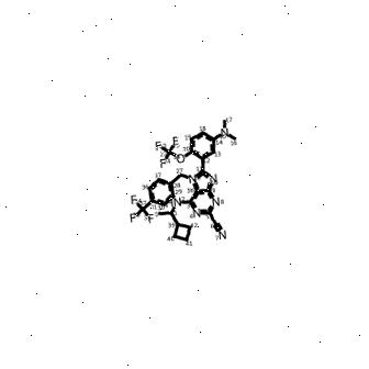 CC(Nc1nc(C#N)nc2nc(-c3cc(N(C)C)ccc3OC(F)(F)F)n(Cc3ccc(C(F)(F)F)cc3)c12)C1CCC1